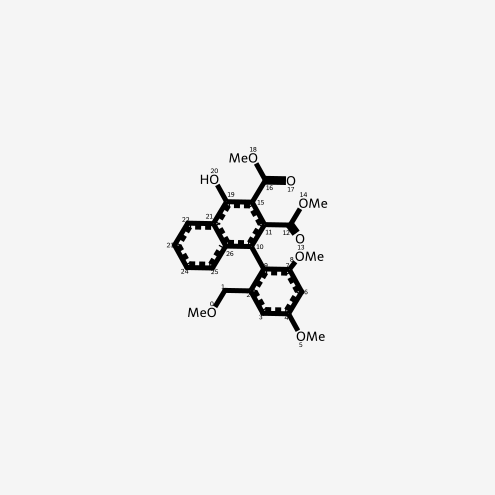 COCc1cc(OC)cc(OC)c1-c1c(C(=O)OC)c(C(=O)OC)c(O)c2ccccc12